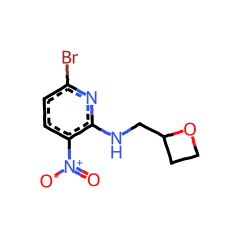 O=[N+]([O-])c1ccc(Br)nc1NCC1CCO1